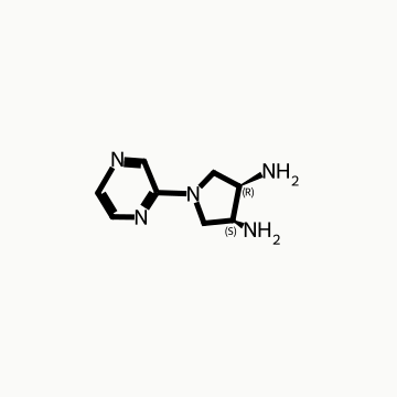 N[C@@H]1CN(c2cnccn2)C[C@@H]1N